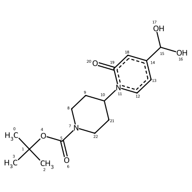 CC(C)(C)OC(=O)N1CCC(n2ccc(C(O)O)cc2=O)CC1